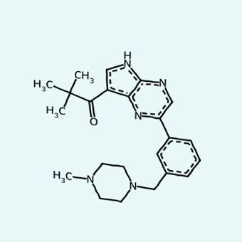 CN1CCN(Cc2cccc(-c3cnc4[nH]cc(C(=O)C(C)(C)C)c4n3)c2)CC1